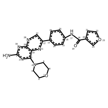 Nc1nc(N2CCOCC2)c2nc(-c3ccc(NC(=O)c4ccoc4)cc3)cnc2n1